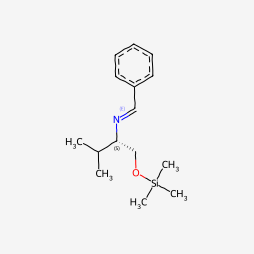 CC(C)[C@@H](CO[Si](C)(C)C)/N=C/c1ccccc1